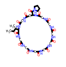 CC[C@H](C)C1NC(=O)CNC(=O)CC(C(=O)N2CCCC2)NC(=O)CNC(=O)CNC(=O)CNC(=O)CNC(=O)CNC(=O)CNC(=O)CNC(=O)CNC1=O